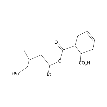 CCC(CC(C)CC(C)(C)C)OC(=O)C1CC=CCC1C(=O)O